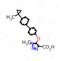 Cn1nnc(C(=O)O)c1Oc1ccc(-c2ccc(C3(C)CC3)cc2)cc1